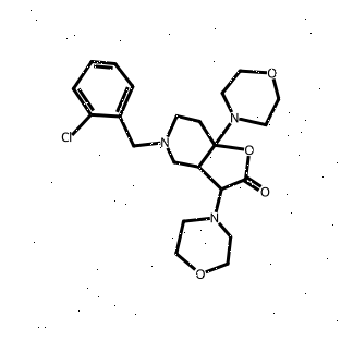 O=C1OC2(N3CCOCC3)CCN(Cc3ccccc3Cl)CC2C1N1CCOCC1